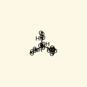 C=CC(=O)OCCOC(=O)NCCCCCCN1C(=O)N(CCCCCCNC(=O)OCCOC(=O)C=C)C(O)N(CCCCCCNC(=O)OCC(COC(=O)C=C)(COC(=O)C=C)COC(=O)C=C)C1=O